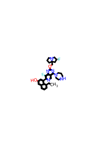 C=Cc1cccc2cc(O)cc(-c3ncc4c(N5CCCNCC5)nc(OCC56CCCN5C[C@H](F)C6)nc4c3F)c12